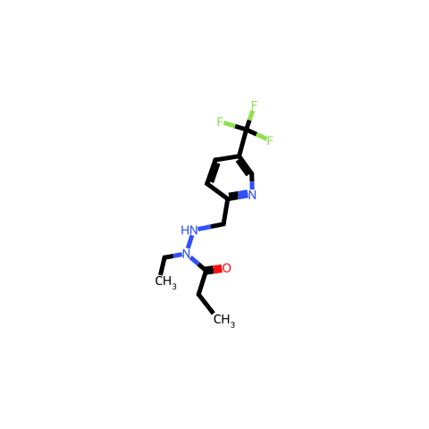 CCC(=O)N(CC)NCc1ccc(C(F)(F)F)cn1